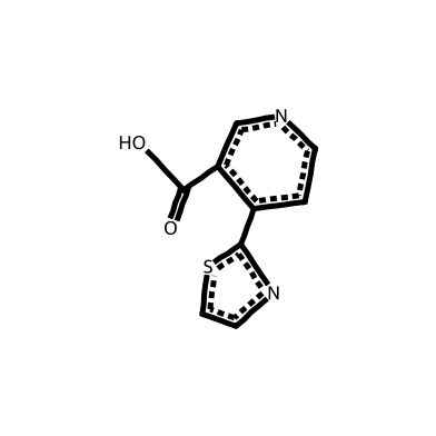 O=C(O)c1cnccc1-c1nccs1